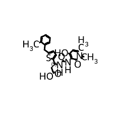 Cc1ccccc1Cc1ccc([C@H](CC(=O)O)NC(=O)Nc2c(O)cc(C)n(C)c2=O)s1